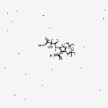 CCC(C)(C(=O)Nc1sc2c(c1C(N)=O)CC(C)(C)OC2(C)C)C(=O)OC